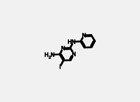 Nc1nc(Nc2ccccn2)ncc1I